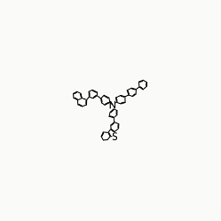 C1=Cc2c(sc3ccc(-c4ccc(N(c5ccc(-c6ccc(-c7ccccc7)cc6)cc5)c5ccc(-c6cccc(-c7cccc8ccccc78)c6)cc5)cc4)cc23)CC1